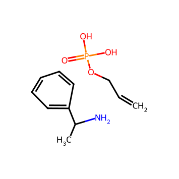 C=CCOP(=O)(O)O.CC(N)c1ccccc1